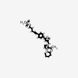 C[C@H](OC1CCCCO1)c1nccn1Cc1cc(-c2ccc(C#CCCCOS(C)(=O)=O)cc2)on1